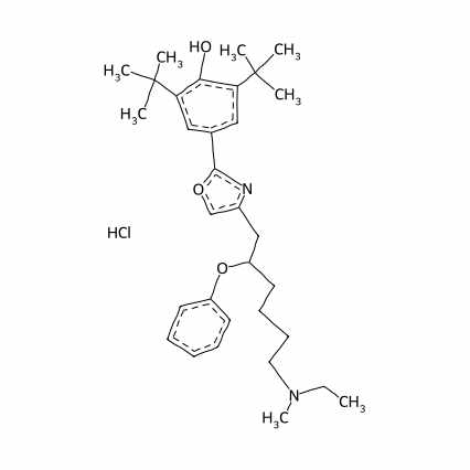 CCN(C)CCCCC(Cc1coc(-c2cc(C(C)(C)C)c(O)c(C(C)(C)C)c2)n1)Oc1ccccc1.Cl